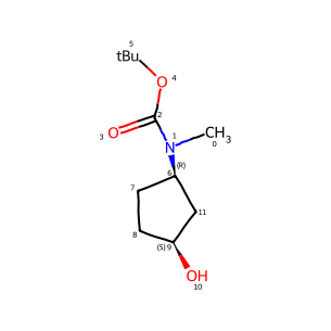 CN(C(=O)OC(C)(C)C)[C@@H]1CC[C@H](O)C1